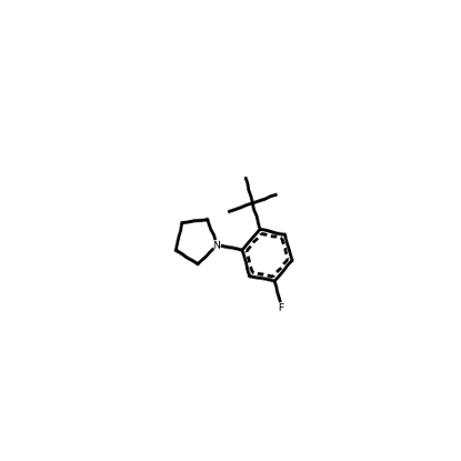 CC(C)(C)c1ccc(F)cc1N1CCCC1